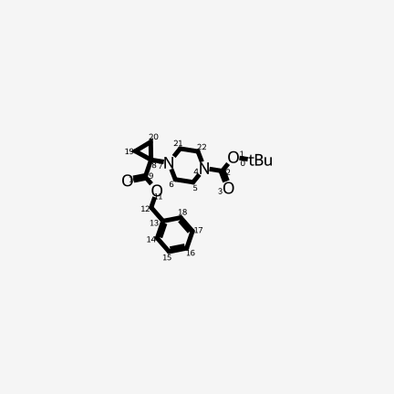 CC(C)(C)OC(=O)N1CCN(C2(C(=O)OCc3ccccc3)CC2)CC1